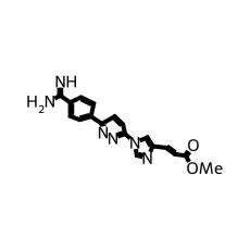 COC(=O)C=Cc1cn(-c2ccc(-c3ccc(C(=N)N)cc3)nn2)cn1